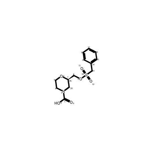 O=C(O)N1CCO[C@@H](COS(=O)(=O)Cc2ccccc2)C1